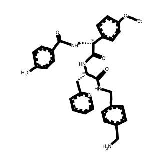 CCOc1ccc([C@@H](CNC(=O)c2ccc(C)cc2)C(=O)N[C@@H](Cc2ccccn2)C(=O)NCc2ccc(CN)cc2)cc1